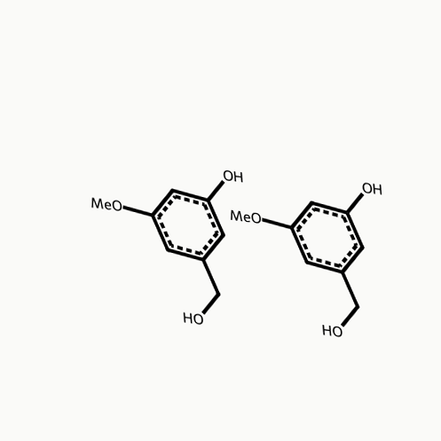 COc1cc(O)cc(CO)c1.COc1cc(O)cc(CO)c1